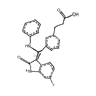 O=C(O)CCc1cccc(/C(Nc2ccccc2)=C2/C(=O)Nc3cc(F)ccc32)c1